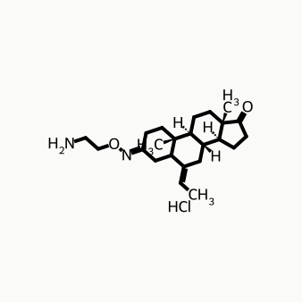 CC=C1C[C@@H]2[C@H](CC[C@]3(C)C(=O)CC[C@@H]23)[C@@]2(C)CCC(=NOCCN)CC12.Cl